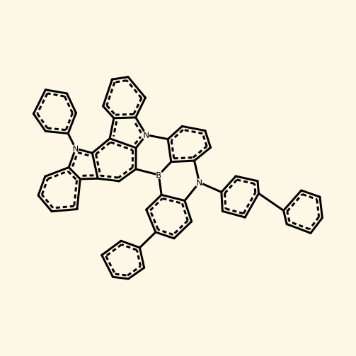 c1ccc(-c2ccc(N3c4ccc(-c5ccccc5)cc4B4c5c3cccc5-n3c5ccccc5c5c3c4cc3c4ccccc4n(-c4ccccc4)c35)cc2)cc1